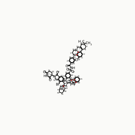 CC1(C)CCC(c2ccc(Cl)cc2)=C(CN2CCN(c3ccc(C(=O)NS(=O)(=O)c4ccc(N[C@H](CCN5C6CCC5CN(Cc5ccc7c(c5Br)CN(C5CCC(=O)NC5=O)C7=O)C6)CSc5ccccc5)c(S(=O)(=O)C(F)(F)F)c4)cc3)CC2)C1